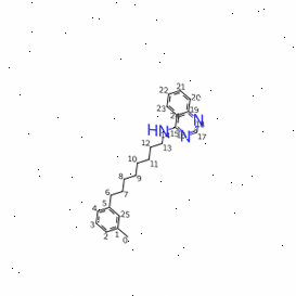 Cc1cccc(CCCCCCCCNc2ncnc3ccccc23)c1